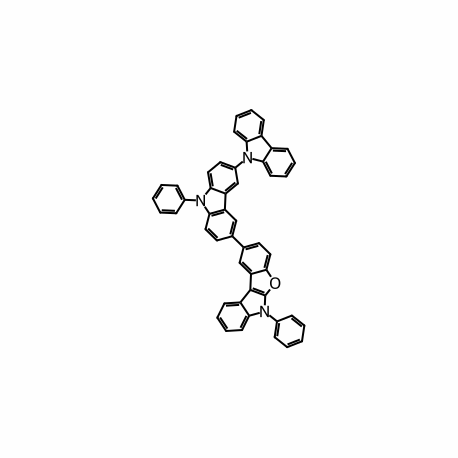 c1ccc(-n2c3ccc(-c4ccc5oc6c(c5c4)c4ccccc4n6-c4ccccc4)cc3c3cc(-n4c5ccccc5c5ccccc54)ccc32)cc1